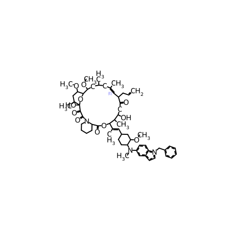 C=CCC1/C=C(\C)CC(C)CC(OC)C2OC(O)(C(=O)C(=O)N3CCCCC3C(=O)OC(C(C)=CC3CCC(N(C)c4ccc5c(ccn5Cc5ccccc5)c4)C(OC)C3)C(C)C(O)CC1=O)C(C)CC2OC